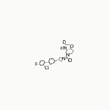 O=C1COC2CCN(C(=O)N3CC(c4ccc(-c5ccc(F)cc5Cl)cc4)C3)CC2N1